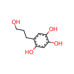 OCCCc1cc(O)c(O)cc1O